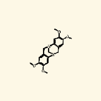 COc1cc2c(cc1OC)N1Cc3cc(OC)c(OC)cc3N(C2)C1